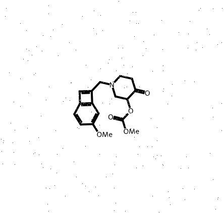 COC(=O)OC1CN(CC2=Cc3ccc(OC)cc32)CCC1=O